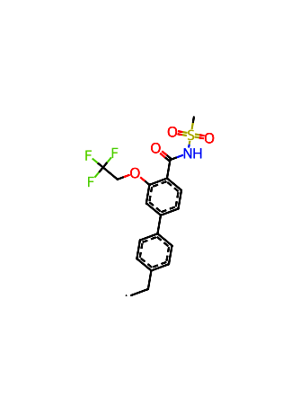 [CH2]Cc1ccc(-c2ccc(C(=O)NS(C)(=O)=O)c(OCC(F)(F)F)c2)cc1